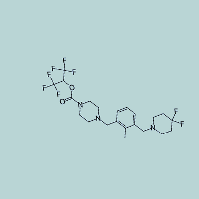 Cc1c(CN2CCN(C(=O)OC(C(F)(F)F)C(F)(F)F)CC2)cccc1CN1CCC(F)(F)CC1